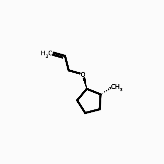 C=CCO[C@@H]1CCC[C@H]1C